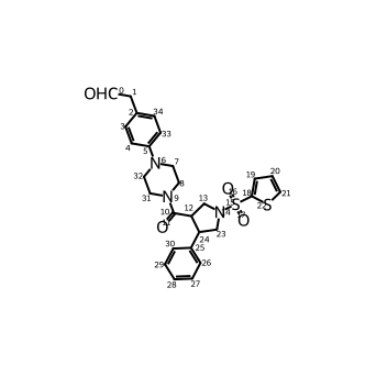 O=CCc1ccc(N2CCN(C(=O)C3CN(S(=O)(=O)c4cccs4)CC3c3ccccc3)CC2)cc1